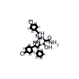 NC(=O)[C@@H](CO)N/C(=N\Cc1ccc(Cl)cc1)N1C[C@H](c2ccccc2)C(c2ccc(Cl)cc2)=N1